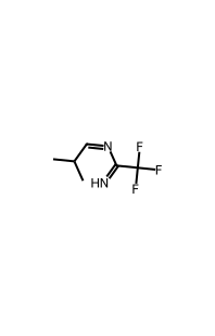 CC(C)/C=N\C(=N)C(F)(F)F